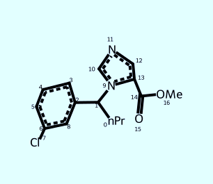 CCCC(c1cccc(Cl)c1)n1cncc1C(=O)OC